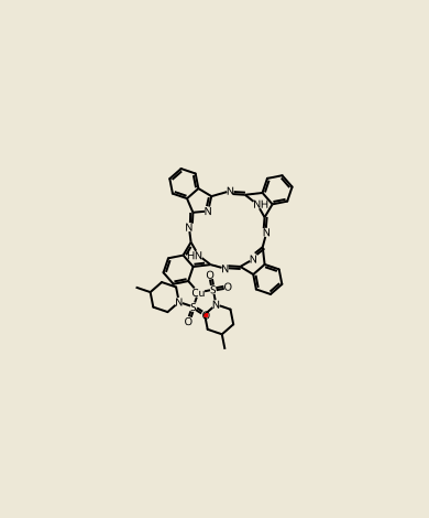 CC1CCN([S](=O)(=O)[Cu]([c]2cccc3c4nc5nc(nc6[nH]c(nc7nc(nc([nH]4)c23)-c2ccccc2-7)c2ccccc62)-c2ccccc2-5)[S](=O)(=O)N2CCC(C)CC2)CC1